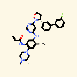 C=CC(=O)Nc1cc(Nc2cc(N3OCC[C@@H]3c3cccc(-c4cccc(F)c4)c3)ncn2)c(OC)cc1N1CCN(C)[C@@H](C)C1